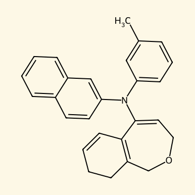 Cc1cccc(N(C2=CCOCC3=C2C=CCC3)c2ccc3ccccc3c2)c1